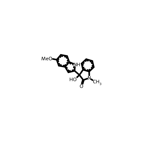 COc1ccc2[nH]c(C3(O)C(=O)N(C)c4ccccc43)cc2c1